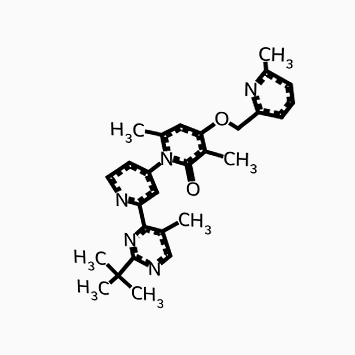 Cc1cccc(COc2cc(C)n(-c3ccnc(-c4nc(C(C)(C)C)ncc4C)c3)c(=O)c2C)n1